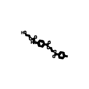 Cc1ccc(C(=O)OCCOC(=O)c2ccc(NC(=O)OCCO)cc2)cc1